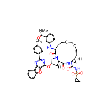 CNC(=O)c1cccc(N[C@H]2CCCCC/C=C\[C@@H]3C[C@@]3(C(=O)NS(=O)(=O)C3CC3)NC(=O)[C@@H]3C[C@@H](Oc4nc(-c5ccc(C(F)(F)F)cc5)nc5c4oc4ccccc45)CN3C2=O)c1